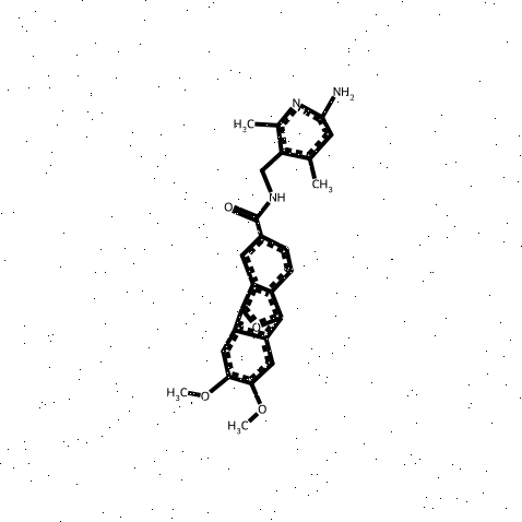 COc1cc2c(cc1OC)c1oc2c2ccc(C(=O)NCc3c(C)cc(N)nc3C)cc21